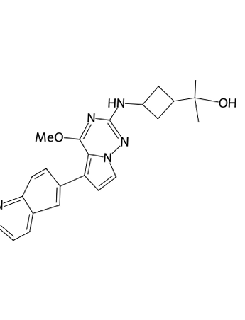 COc1nc(NC2CC(C(C)(C)O)C2)nn2ccc(-c3ccc4ncccc4c3)c12